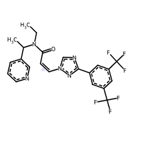 CCN(C(=O)/C=C\n1cnc(-c2cc(C(F)(F)F)cc(C(F)(F)F)c2)n1)C(C)c1cccnc1